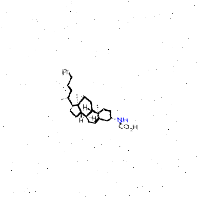 CC(C)CCC[C@@H](C)[C@H]1CC[C@H]2[C@@H]3CC=C4C[C@@H](NC(=O)O)CC[C@]4(C)[C@H]3CC[C@]12C